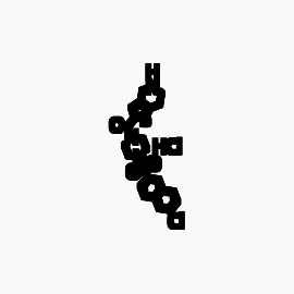 Cl.O=C(c1cc2c(s1)CCNC2)N1CCN(S(=O)(=O)c2ccc3cc(Cl)ccc3c2)CC1